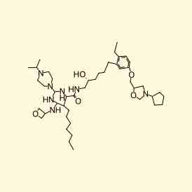 CCCCCCCC1C(NC2COC2)NC(N2CCN(C(C)C)CC2)NC1C(=O)NC[C@H](O)CCCCc1cc(OCC2CN(C3CCCC3)CO2)ccc1CC